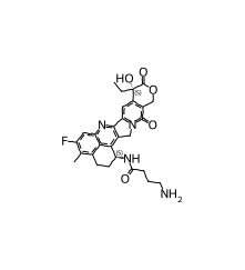 CC[C@@]1(O)C(=O)OCc2c1cc1n(c2=O)Cc2c-1nc1cc(F)c(C)c3c1c2[C@@H](NC(=O)CCCN)CC3